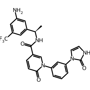 C[C@@H](NC(=O)c1ccc(=O)n(-c2cccc(-n3cc[nH]c3=O)c2)c1)c1cc(N)cc(C(F)(F)F)c1